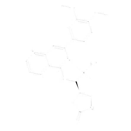 COc1ccc(-c2cc3ncccc3c(OC([C@H]3CNC(=O)C3)C(F)(F)F)n2)cc1OC